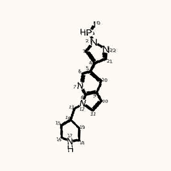 IPn1cc(-c2cnc3c(ccn3CC3CCNCC3)c2)cn1